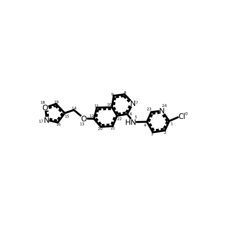 Clc1ccc(Nc2nccc3cc(OCc4cnoc4)ccc23)cn1